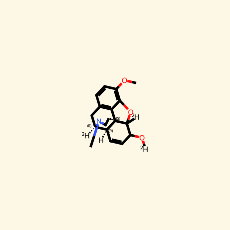 [2H]OC1C=C[C@H]2[C@@]3([2H])Cc4ccc(OC)c5c4[C@@]2(CCN3C)C1([2H])O5